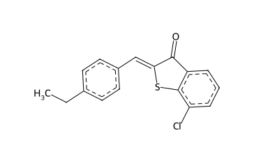 CCc1ccc(C=C2Sc3c(Cl)cccc3C2=O)cc1